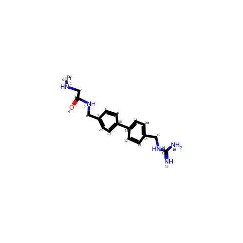 CC(C)NCC(=O)NCc1ccc(-c2ccc(CNC(=N)N)cc2)cc1